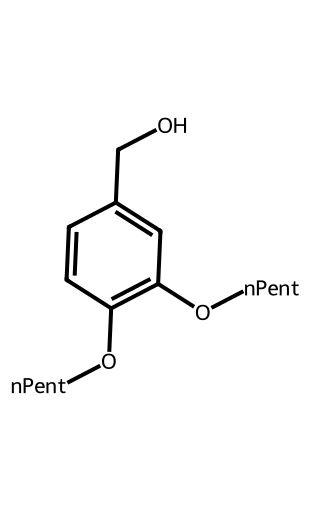 CCCCCOc1ccc(CO)cc1OCCCCC